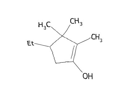 CCC1CC(O)=C(C)C1(C)C